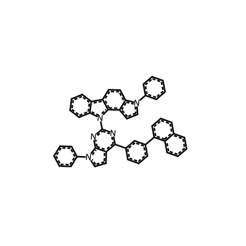 c1ccc(-n2ccc3c2ccc2c4ccccc4n(-c4nc(-c5cccc(-c6cccc7ccccc67)c5)c5ccn(-c6ccccc6)c5n4)c23)cc1